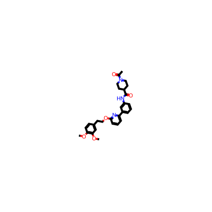 COc1ccc(CCOc2cccc(-c3cccc(NC(=O)C4CCN(C(C)=O)CC4)c3)n2)cc1OC